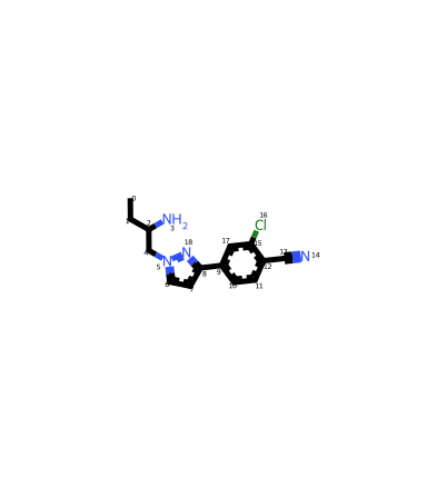 CCC(N)Cn1ccc(-c2ccc(C#N)c(Cl)c2)n1